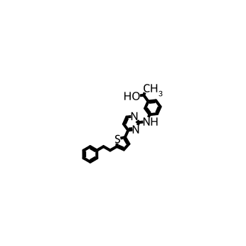 CC(O)c1cccc(Nc2nccc(-c3ccc(CCc4ccccc4)s3)n2)c1